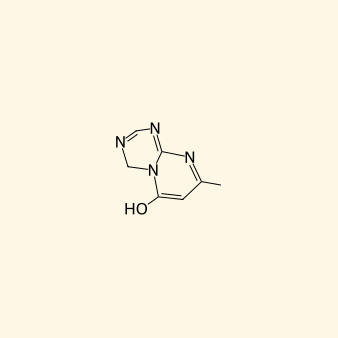 CC1=NC2=NC=NCN2C(O)=C1